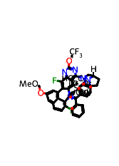 COCOc1cc(-c2c(N=C(c3ccccc3)c3ccccc3)cc3c(N4C[C@@H]5CC[C@@](C(C)(C)C)(C4)N5C(=O)O)nc(OCC(F)(F)F)nc3c2F)c2c(C#C[Si](C(C)C)(C(C)C)C(C)C)c(F)ccc2c1